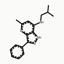 Cc1cc(NCC(C)C)c2[nH]nc(-c3ccccc3)c2n1